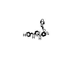 COc1ccc(Nc2nccc(NCC3CCNCC3)n2)cc1OCCCN1CCOCC1